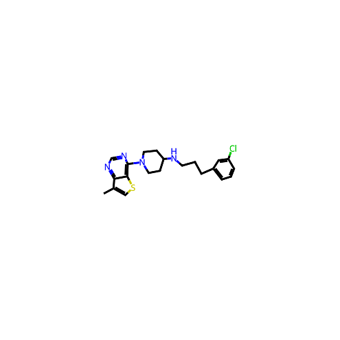 Cc1csc2c(N3CCC(NCCCc4cccc(Cl)c4)CC3)ncnc12